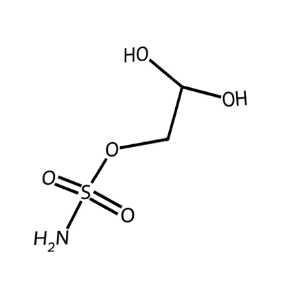 NS(=O)(=O)OCC(O)O